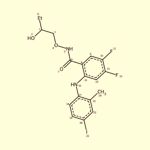 CCC(O)CONC(=O)c1cc(F)c(F)cc1Nc1ccc(I)cc1C